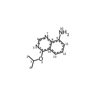 CC(C)Oc1ncnc2c(N)cccc12